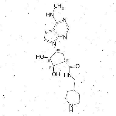 CNc1ncnc2c1ccn2[C@@H]1C[C@H](C(=O)NCC2CCNCC2)[C@@H](O)[C@H]1O